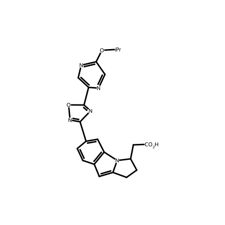 CC(C)Oc1cnc(-c2nc(-c3ccc4cc5n(c4c3)C(CC(=O)O)CC5)no2)cn1